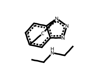 CCNCC.c1cc2c3cc1Cn2nn3